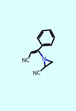 N#CC=C(c1ccccc1)N1CC1C#N